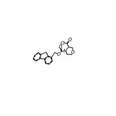 O=C(Cl)C1COCCN1C(=O)OCc1cccc2c1Cc1ccccc1-2